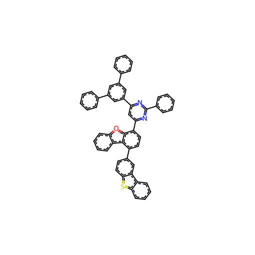 c1ccc(-c2cc(-c3ccccc3)cc(-c3cc(-c4ccc(-c5ccc6sc7ccccc7c6c5)c5c4oc4ccccc45)nc(-c4ccccc4)n3)c2)cc1